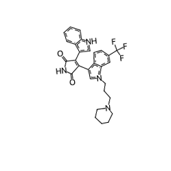 O=C1NC(=O)C(c2cn(CCCN3CCCCC3)c3cc(C(F)(F)F)ccc23)=C1c1c[nH]c2ccccc12